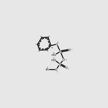 CC(C)OP(=O)(O)OP(=O)(O)Oc1ccccc1